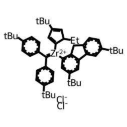 CCC1C=C(C(C)(C)C)C=[C]1[Zr+2](=[C](c1ccc(C(C)(C)C)cc1)c1ccc(C(C)(C)C)cc1)[c]1cc(C(C)(C)C)cc2c1Cc1ccc(C(C)(C)C)cc1-2.[Cl-].[Cl-]